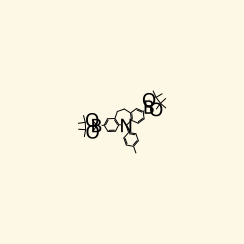 Cc1ccc(N2c3ccc(B4OC(C)(C)C(C)(C)O4)cc3CCc3cc(B4OC(C)(C)C(C)(C)O4)ccc32)cc1